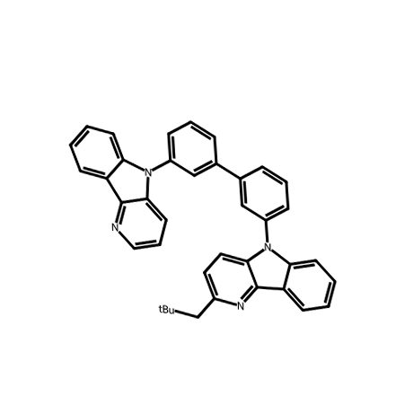 CC(C)(C)Cc1ccc2c(n1)c1ccccc1n2-c1cccc(-c2cccc(-n3c4ccccc4c4ncccc43)c2)c1